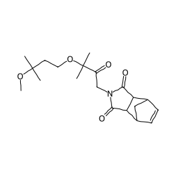 COC(C)(C)CCOC(C)(C)C(=O)CN1C(=O)C2C3C=CC(C3)C2C1=O